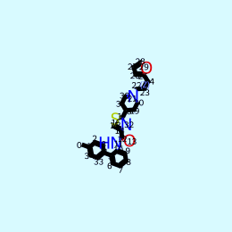 Cc1ccc(-c2ccccc2NC(=O)c2csc(C3CCN(C/C=C\c4ccco4)CC3)n2)cc1